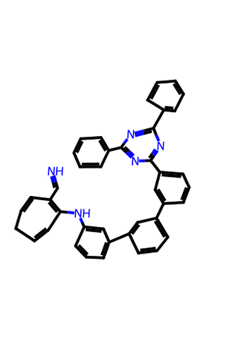 N=CC1=C(Nc2cccc(-c3cccc(-c4cccc(-c5nc(-c6ccccc6)nc(-c6ccccc6)n5)c4)c3)c2)C=CCC=C1